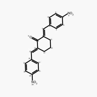 O=C1C(=Cc2ccc([N+](=O)[O-])cc2)CCCC1=Cc1ccc([N+](=O)[O-])cc1